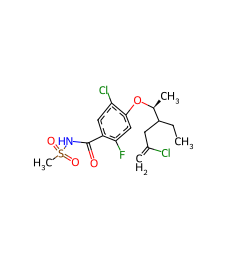 C=C(Cl)CC(CC)[C@H](C)Oc1cc(F)c(C(=O)NS(C)(=O)=O)cc1Cl